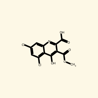 COC(=O)c1c(C(=O)O)nc2cc(Cl)cc(Cl)c2c1O